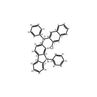 Clc1cc2ccccc2cc1N(c1ccccc1)c1ccc2c3ccccc3n(-c3ccccc3)c2c1